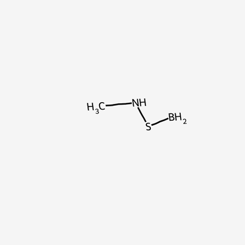 BSNC